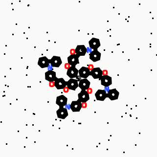 c1ccc2c(c1)c1ccccc1n2-c1ccc2oc3cc4oc5ccc([Si](c6ccc7oc8cc9oc%10ccc(-n%11c%12ccccc%12c%12ccccc%12%11)cc%10c9cc8c7c6)(c6ccc7oc8cc9oc%10ccc(-n%11c%12ccccc%12c%12ccccc%12%11)cc%10c9cc8c7c6)c6ccc7oc8cc9oc%10ccc(-n%11c%12ccccc%12c%12ccccc%12%11)cc%10c9cc8c7c6)cc5c4cc3c2c1